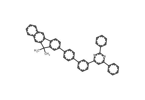 CC1(C)c2cc(-c3ccc(-c4cccc(-c5cc(-c6ccccc6)nc(-c6ccccc6)n5)c4)cc3)ccc2-c2cc3ccccc3cc21